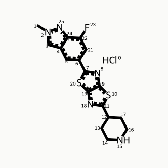 Cl.Cn1cc2cc(-c3nc4sc(C5CCNCC5)nc4s3)cc(F)c2n1